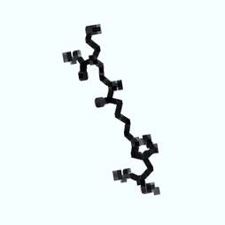 CC(=O)N(CCO)CCNC(=O)CCCCn1cc(CN(C)C)nn1